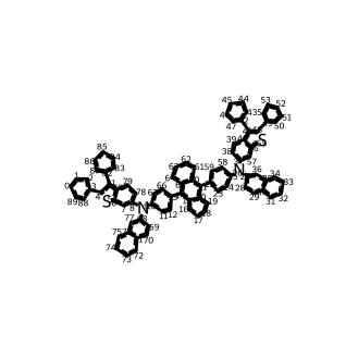 c1ccc(-c2sc3cc(N(c4ccc(-c5c6ccccc6c(-c6ccc(N(c7ccc8ccccc8c7)c7ccc8c(-c9ccccc9)c(-c9ccccc9)sc8c7)cc6)c6ccccc56)cc4)c4ccc5ccccc5c4)ccc3c2-c2ccccc2)cc1